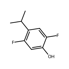 CC(C)c1cc(F)c(O)cc1F